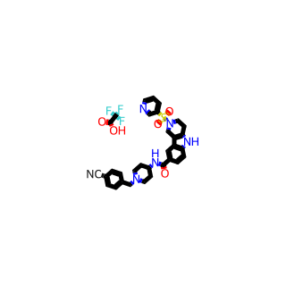 N#Cc1ccc(CN2CCC(NC(=O)c3ccc4[nH]c5c(c4c3)CN(S(=O)(=O)c3cccnc3)CC5)CC2)cc1.O=C(O)C(F)(F)F